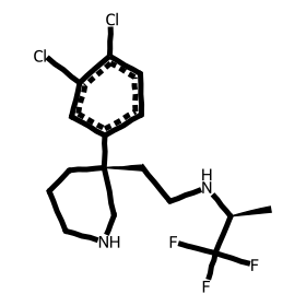 C[C@H](NCC[C@]1(c2ccc(Cl)c(Cl)c2)CCCNC1)C(F)(F)F